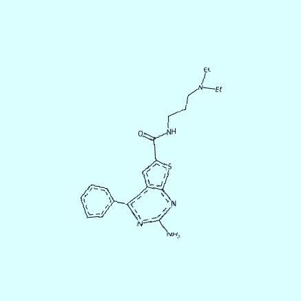 CCN(CC)CCCNC(=O)c1cc2c(-c3ccccc3)nc(N)nc2s1